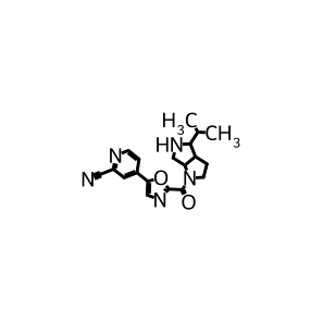 CC(C)C1NCC2C1CCN2C(=O)c1ncc(-c2ccnc(C#N)c2)o1